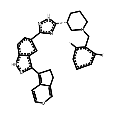 Fc1cccc(F)c1CN1CCC[C@@H](c2nc(-c3ccc4[nH]nc(C5=C6C=COC=C6CC5)c4c3)n[nH]2)C1